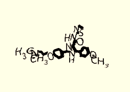 COc1ccc(-c2[nH]c(-c3ccc(OCCCN(C)C)cc3)nc2C(=O)Nc2nccs2)cc1